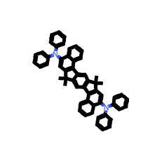 CC1(C)C2=C(C3=CC=CCC3C(N(c3ccccc3)c3ccccc3)=C2)c2cc3c(cc21)-c1c(cc(N(c2ccccc2)c2ccccc2)c2ccccc12)C3(C)C